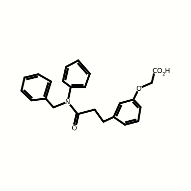 O=C(O)COc1cccc(CCC(=O)N(Cc2ccccc2)c2ccccc2)c1